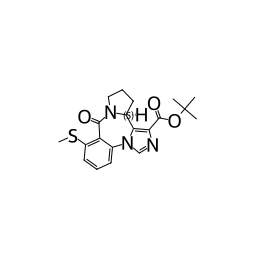 CSc1cccc2c1C(=O)N1CCC[C@H]1c1c(C(=O)OC(C)(C)C)ncn1-2